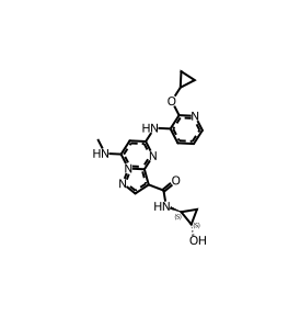 CNc1cc(Nc2cccnc2OC2CC2)nc2c(C(=O)N[C@H]3C[C@@H]3O)cnn12